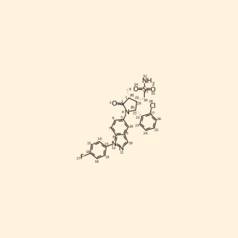 C[C@H]1C(=O)N(c2ccc3c(cnn3-c3ccc(F)cc3)c2)[C@@H](c2ccccc2Cl)[C@H]1CS(N)(=O)=O